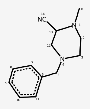 CN1CCN(Cc2ccccc2)CC1C#N